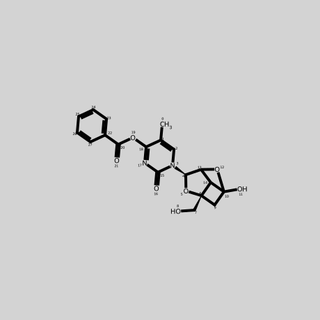 Cc1cn([C@@H]2O[C@@]3(CO)CC4(O)OC2C43)c(=O)nc1OC(=O)c1ccccc1